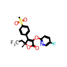 C[C@]1(CC(F)(F)F)OC(=O)C(Oc2ccc(F)cn2)=C1c1ccc(S(C)(=O)=O)cc1